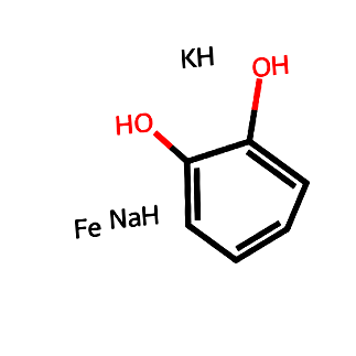 Oc1ccccc1O.[Fe].[KH].[NaH]